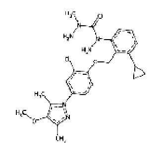 COc1c(C)nn(-c2ccc(OCc3c(C4CC4)cccc3N(N)C(=O)N(C)N)c(Cl)c2)c1C